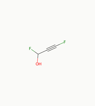 OC(F)C#CF